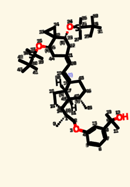 C[C@@H](COc1cccc(C(C)(C)O)c1)[C@@H]1CC[C@@H]2/C(=C/C=C3C[C@@H](O[Si](C)(C)C(C)(C)C)C4(CC4)[C@H](O[Si](C)(C)C(C)(C)C)C3)CC[C@H](C)[C@H]12